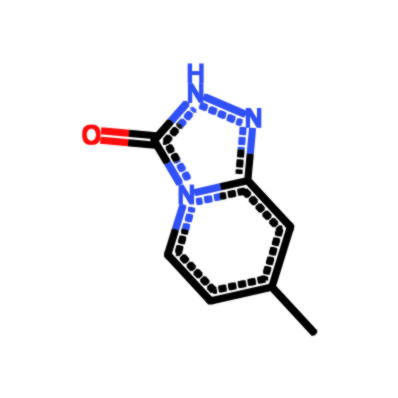 Cc1ccn2c(=O)[nH]nc2c1